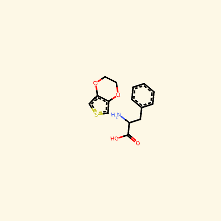 NC(Cc1ccccc1)C(=O)O.c1scc2c1OCCO2